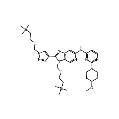 COC1CCN(c2nccc(Nc3cc4nc(-c5cnn(COCC[Si](C)(C)C)c5)n(COCC[Si](C)(C)C)c4cn3)n2)CC1